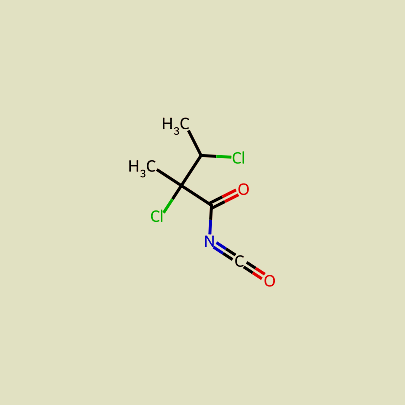 CC(Cl)C(C)(Cl)C(=O)N=C=O